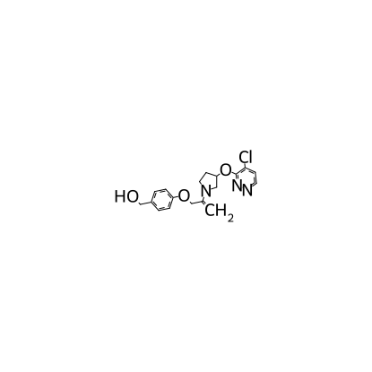 C=C(COc1ccc(CO)cc1)N1CCC(Oc2nnccc2Cl)C1